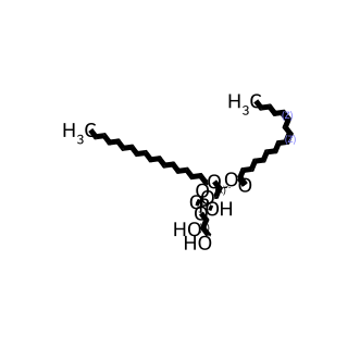 CCCC/C=C\C/C=C\CCCCCCCC(=O)OC[C@H](COP(=O)(O)OC[C@@H](O)CO)OC(=O)CCCCCCCCCCCCCCCCC